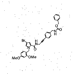 COc1ccc(Cn2cc(Br)cc2C(=O)NCC#Cc2ccc(CNC(=O)OCc3ccccc3)cc2)c(OC)c1